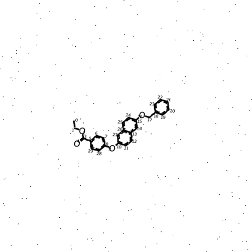 CCOC(=O)c1ccc(Oc2ccc3cc(OCc4ccccc4)ccc3c2)cc1